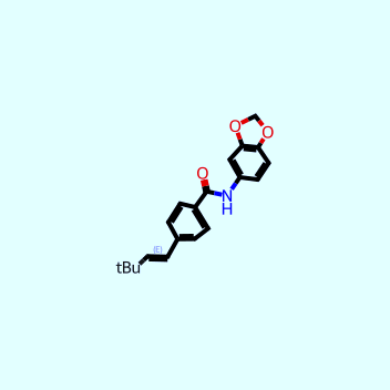 CC(C)(C)/C=C/c1ccc(C(=O)Nc2ccc3c(c2)OCO3)cc1